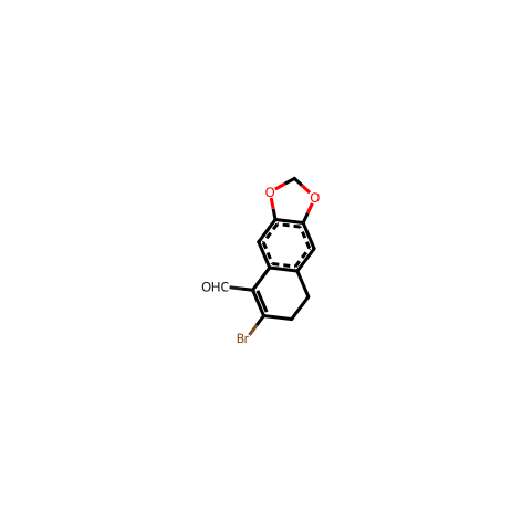 O=CC1=C(Br)CCc2cc3c(cc21)OCO3